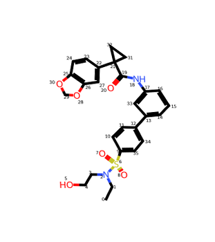 CCN(CCO)S(=O)(=O)c1ccc(-c2cccc(NC(=O)C3(c4ccc5c(c4)OCO5)CC3)c2)cc1